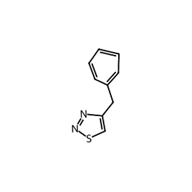 c1ccc(Cc2csnn2)cc1